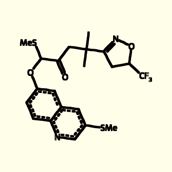 CSc1cnc2ccc(OC(SC)C(=O)CC(C)(C)C3=NOC(C(F)(F)F)C3)cc2c1